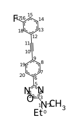 CCN(C)c1nc(-c2ccc(C#Cc3cccc(F)c3)cc2)no1